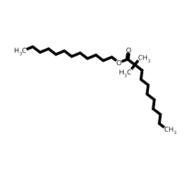 CCCCCCCCCCCCOC(=O)C(C)(C)CCCCCCCCC